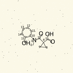 CN(C(=O)C1(C(=O)O)CC1)c1ccccc1O